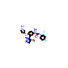 Cn1ncc(Br)c1-c1cc(NC(=O)Nc2ccc(F)cc2F)ccc1O[C@@H]1CCNC1